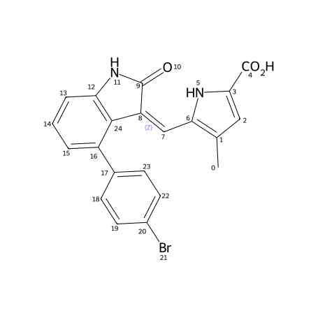 Cc1cc(C(=O)O)[nH]c1/C=C1\C(=O)Nc2cccc(-c3ccc(Br)cc3)c21